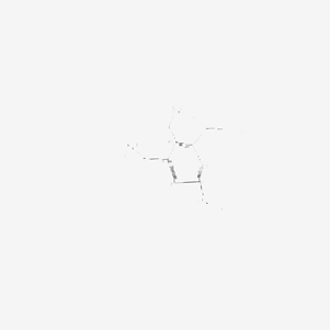 CCc1cc(N)cc(CN)c1CN